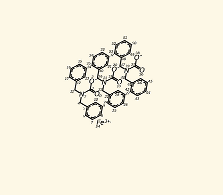 O=C([O-])N(Cc1ccccc1)Cc1ccccc1.O=C([O-])N(Cc1ccccc1)Cc1ccccc1.O=C([O-])N(Cc1ccccc1)Cc1ccccc1.[Fe+3]